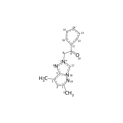 Cc1cc(C)c2n[n+](CC(=O)c3ccccc3)cn2n1